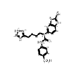 O=C(O)c1ccc(NC(=O)N(CCCCc2nn[nH]n2)c2ccc3nc(S)sc3n2)cc1